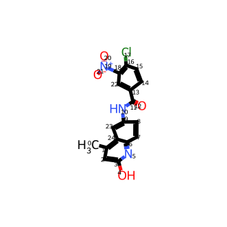 Cc1cc(O)nc2ccc(NC(=O)c3ccc(Cl)c([N+](=O)[O-])c3)cc12